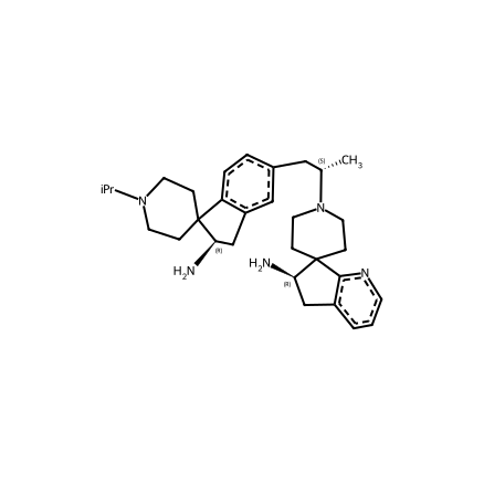 CC(C)N1CCC2(CC1)c1ccc(C[C@H](C)N3CCC4(CC3)c3ncccc3C[C@H]4N)cc1C[C@H]2N